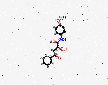 COc1ccc(NC(=O)/C(O)=C/C(=O)c2ccccc2)cc1